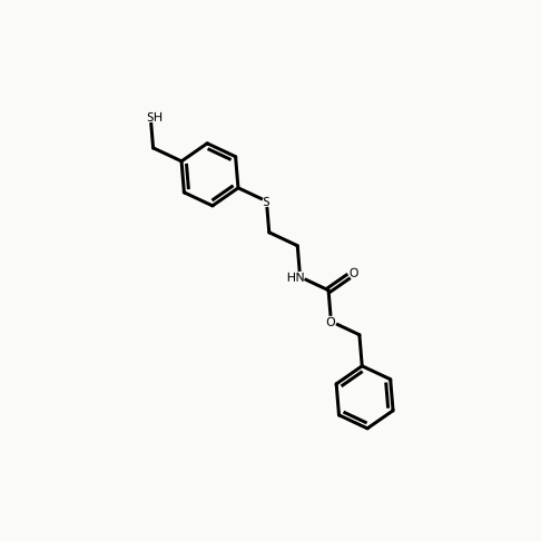 O=C(NCCSc1ccc(CS)cc1)OCc1ccccc1